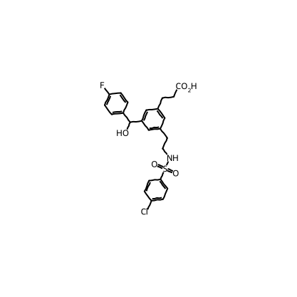 O=C(O)CCc1cc(CCNS(=O)(=O)c2ccc(Cl)cc2)cc(C(O)c2ccc(F)cc2)c1